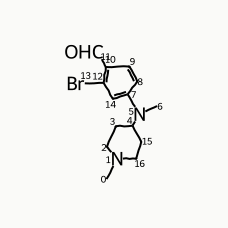 CN1CCC(N(C)c2ccc(C=O)c(Br)c2)CC1